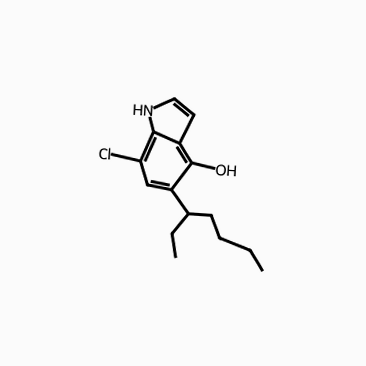 CCCCC(CC)c1cc(Cl)c2[nH]ccc2c1O